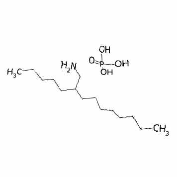 CCCCCCCCC(CN)CCCCC.O=P(O)(O)O